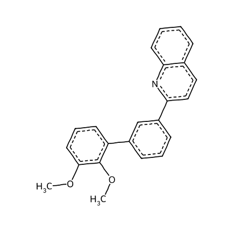 COc1cccc(-c2cccc(-c3ccc4ccccc4n3)c2)c1OC